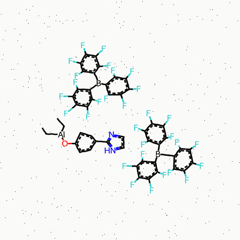 C[CH2][Al]([CH2]C)[O]c1ccc(-c2ncc[nH]2)cc1.Fc1c(F)c(F)c(B(c2c(F)c(F)c(F)c(F)c2F)c2c(F)c(F)c(F)c(F)c2F)c(F)c1F.Fc1c(F)c(F)c(B(c2c(F)c(F)c(F)c(F)c2F)c2c(F)c(F)c(F)c(F)c2F)c(F)c1F